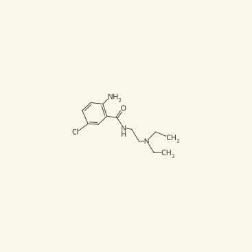 CCN(CC)CCNC(=O)c1cc(Cl)ccc1N